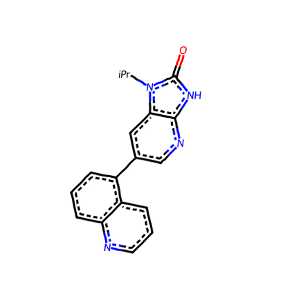 CC(C)n1c(=O)[nH]c2ncc(-c3cccc4ncccc34)cc21